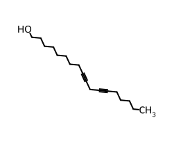 CCCCCC#CCC#CCCCCCCCCO